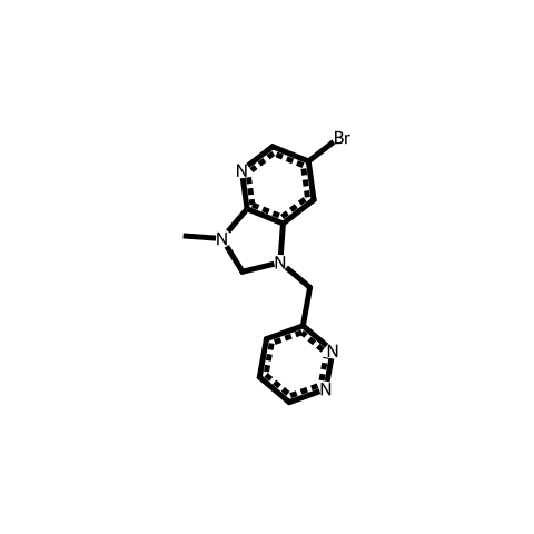 CN1CN(Cc2cccnn2)c2cc(Br)cnc21